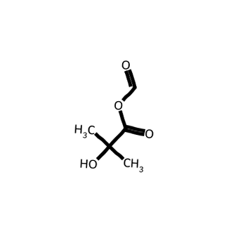 CC(C)(O)C(=O)OC=O